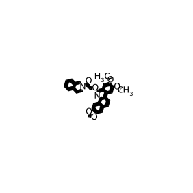 COc1cc2c(OCC(=O)N3CCc4ccccc4C3)nc3c4cc5c(cc4ccc3c2cc1OC)OCO5